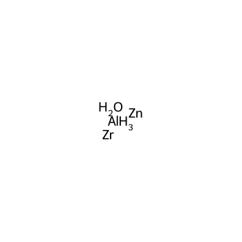 O.[AlH3].[Zn].[Zr]